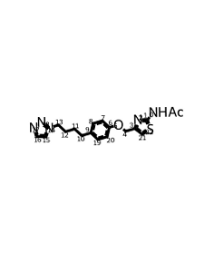 CC(=O)Nc1nc(COc2ccc(CCCCn3ccnn3)cc2)cs1